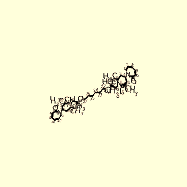 CC1(C)CC(N2CC=CC=CC2=O)CC(C)(C)N1CC(=O)OCCCCCCOC(=O)CN1C(C)(C)CC(N2CC=CC=CC2=O)CC1(C)C